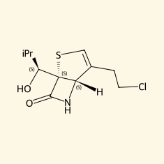 CC(C)[C@H](O)[C@@]12SC=C(CCCl)[C@@H]1NC2=O